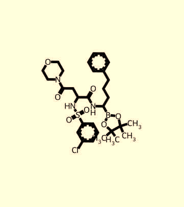 CC1(C)OB(C(CCCc2ccccc2)NC(=O)C(CC(=O)N2CCOCC2)NS(=O)(=O)c2cccc(Cl)c2)OC1(C)C